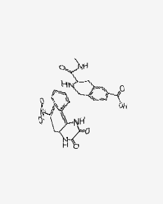 CNC(=O)C1Cc2cc(C(=O)O)ccc2CN1.O=C1NC2=c3ccccc3=C([N+](=O)[O-])CC2NC1=O